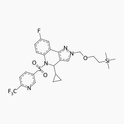 C[Si](C)(C)CCOCn1cc2c(n1)-c1cc(F)ccc1N(S(=O)(=O)c1ccc(C(F)(F)F)nc1)C2C1CC1